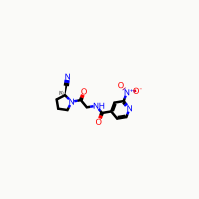 N#C[C@@H]1CCCN1C(=O)CNC(=O)c1ccnc([N+](=O)[O-])c1